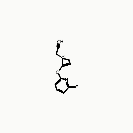 C#CC[C@H]1CC=C1Oc1cccc(F)n1